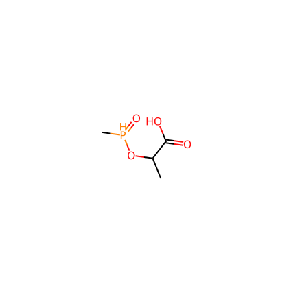 CC(O[PH](C)=O)C(=O)O